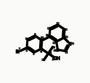 CC(C)(O)c1cc(Br)ccc1-c1cccc2ncsc12